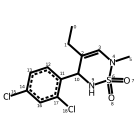 CCC1=CN(C)S(=O)(=O)NC1c1ccc(Cl)cc1Cl